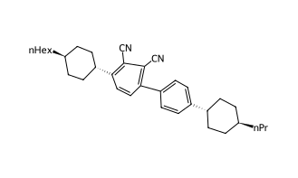 CCCCCC[C@H]1CC[C@H](c2ccc(-c3ccc([C@H]4CC[C@H](CCC)CC4)cc3)c(C#N)c2C#N)CC1